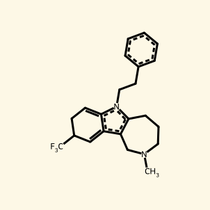 CN1CCCc2c(c3c(n2CCc2ccccc2)=CCC(C(F)(F)F)C=3)C1